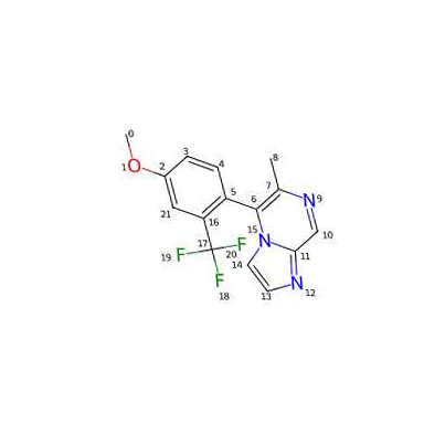 COc1ccc(-c2c(C)ncc3nccn23)c(C(F)(F)F)c1